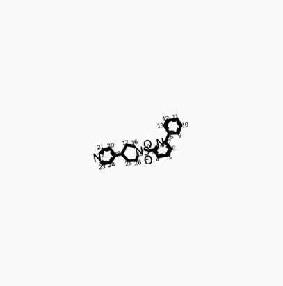 O=S(=O)(c1cccc(-c2ccccc2)n1)N1CCC(c2ccncc2)CC1